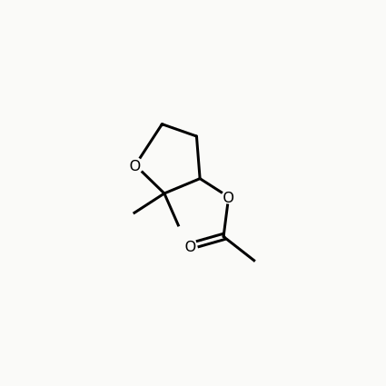 CC(=O)OC1CCOC1(C)C